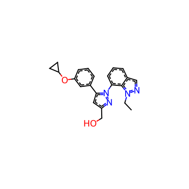 CCn1ncc2cccc(-n3nc(CO)cc3-c3cccc(OC4CC4)c3)c21